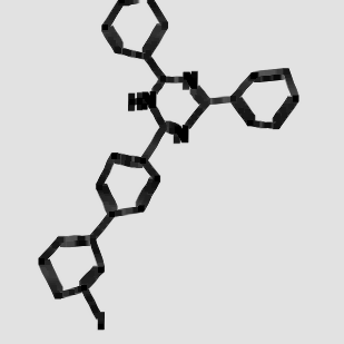 Ic1cccc(-c2ccc(C3=NC(c4ccccc4)=NC(c4ccccc4)N3)cc2)c1